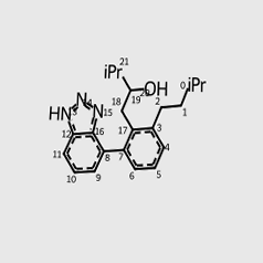 CC(C)CCc1cccc(-c2cccc3[nH]nnc23)c1CC(O)C(C)C